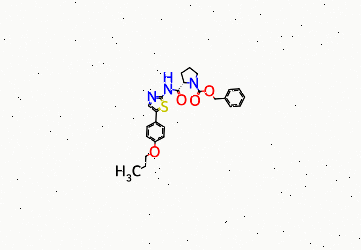 CCCOc1ccc(-c2cnc(NC(=O)[C@@H]3CCCN3C(=O)OCc3ccccc3)s2)cc1